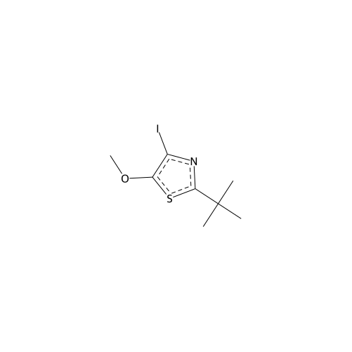 COc1sc(C(C)(C)C)nc1I